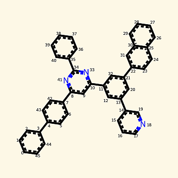 c1ccc(-c2ccc(-c3cc(-c4cc(-c5cccnc5)cc(-c5ccc6ccccc6c5)c4)nc(-c4ccccc4)n3)cc2)cc1